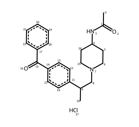 CC(=O)NC1CCN(CC(C)c2ccc(C(=O)c3ccccc3)cc2)CC1.Cl